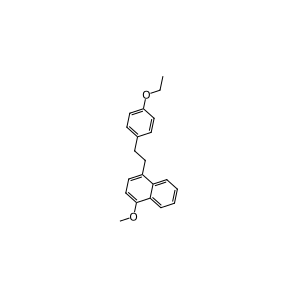 CCOc1ccc(CCc2ccc(OC)c3ccccc23)cc1